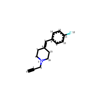 C#CCN1CCC(=Cc2ccc(F)cc2)CC1